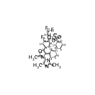 Cc1cn(-c2ccc(-c3cccc(S(C)(=O)=O)c3)cc2-c2nc(C)oc2-c2ccc(OCC(F)F)c(F)c2)c(C)n1